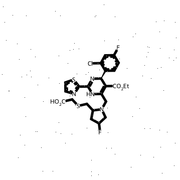 CCOC(=O)C1=C(CN2CC(F)CC2CSCC(=O)O)NC(c2nccs2)=N[C@H]1c1ccc(F)cc1Cl